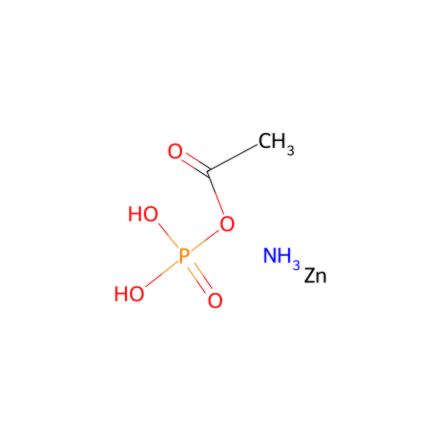 CC(=O)OP(=O)(O)O.N.[Zn]